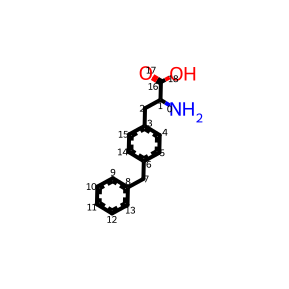 NC(Cc1ccc(Cc2ccccc2)cc1)C(=O)O